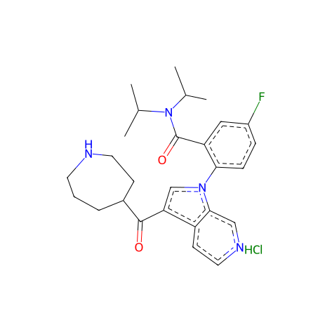 CC(C)N(C(=O)c1cc(F)ccc1-n1cc(C(=O)C2CCCNCC2)c2ccncc21)C(C)C.Cl